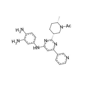 CC(=O)N1C[C@H](c2nc(Nc3ccc(N)c(N)c3)cc(-c3cccnc3)n2)CC[C@@H]1C